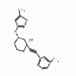 Cc1cccc(C#C[C@@]2(O)CCC[C@@H](Nc3cc(C)[nH]n3)C2)c1